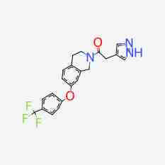 O=C(Cc1cn[nH]c1)N1CCc2ccc(Oc3ccc(C(F)(F)F)cc3)cc2C1